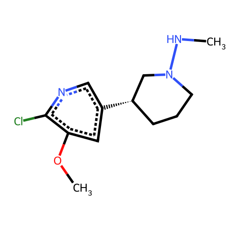 CNN1CCC[C@H](c2cnc(Cl)c(OC)c2)C1